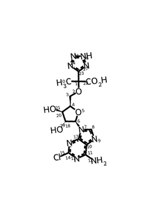 CC(OC[C@H]1O[C@@H](n2cnc3c(N)nc(Cl)nc32)[C@H](O)[C@H]1O)(C(=O)O)c1nn[nH]n1